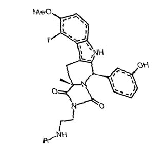 COc1ccc2[nH]c3c(c2c1F)C[C@@]1(C)C(=O)N(CCNC(C)C)C(=O)N1[C@@H]3c1cccc(O)c1